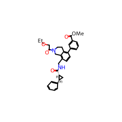 CCOCC(=O)N1CCc2c(-c3cccc(C(=O)OC)c3)ccc(CNC(=O)[C@@H]3C[C@H]3c3ccccc3)c2C1